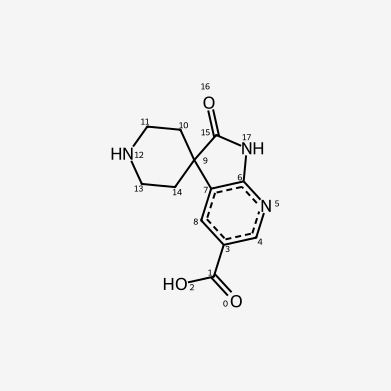 O=C(O)c1cnc2c(c1)C1(CCNCC1)C(=O)N2